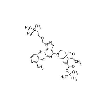 C[C@@H]1OCC2(CCN(c3ncc(Sc4ccnc(N)c4Cl)c4c3cnn4COCC[Si](C)(C)C)CC2)[C@@H]1NC(=O)OC(C)(C)C